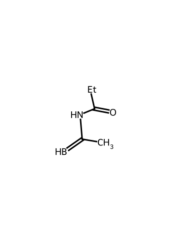 B=C(C)NC(=O)CC